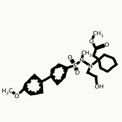 COC(=O)CC1(N(CCO)N(C)S(=O)(=O)c2ccc(-c3ccc(OC)cc3)cc2)CCCCC1